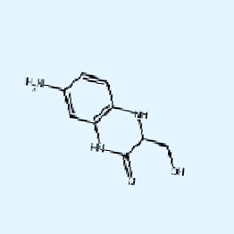 Nc1ccc2c(c1)NC(=O)C(CO)N2